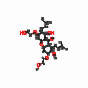 COCCOc1cc2oc3cc(OCCO)c(CC=C(C)C)c(O)c3c(=O)c2c(CC=C(C)C)c1OC